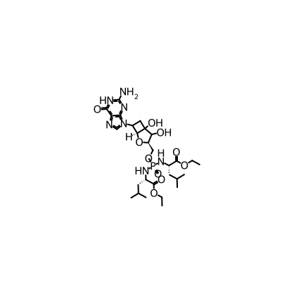 CCOC(=O)[C@H](CC(C)C)NP(=O)(N[C@@H](CC(C)C)C(=O)OCC)OC[C@H]1O[C@H]2C(n3cnc4c(=O)[nH]c(N)nc43)CC2(O)C1O